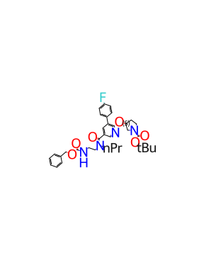 CCCN(CCNC(=O)OCc1ccccc1)C(=O)c1cnc(O[C@H]2CCN(C(=O)OC(C)(C)C)C2)c(-c2ccc(F)cc2)c1